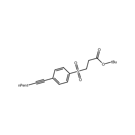 CCCCCC#Cc1ccc(S(=O)(=O)CCC(=O)OC(C)(C)C)cc1